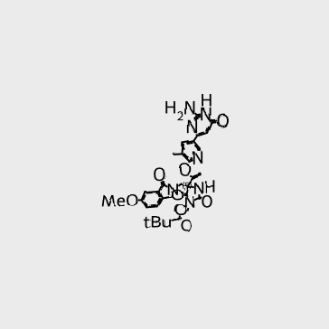 C=C(Oc1ncc(-c2cc(=O)[nH]c(N)n2)cc1C)[C@]1(CN2Cc3ccc(OC)cc3C2=O)NC(=O)N(COC(=O)C(C)(C)C)C1=O